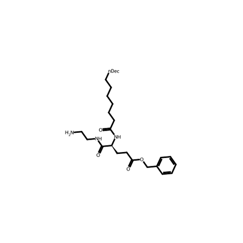 CCCCCCCCCCCCCCCCC(=O)N[C@@H](CCC(=O)OCc1ccccc1)C(=O)NCCN